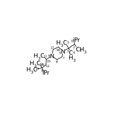 CC(C)C(C)C(C)(C)N1CCN(C(C)CC(C)(C)C(C)C)CC1